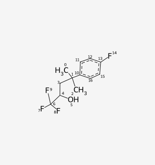 CC(C)(CC(O)C(F)(F)F)c1ccc(F)cc1